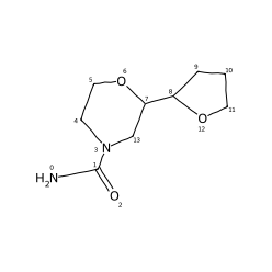 NC(=O)N1CCOC(C2CCCO2)C1